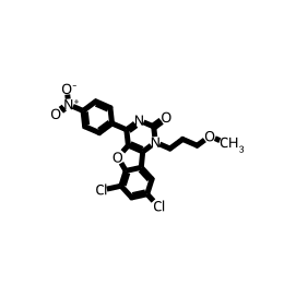 COCCCn1c(=O)nc(-c2ccc([N+](=O)[O-])cc2)c2oc3c(Cl)cc(Cl)cc3c21